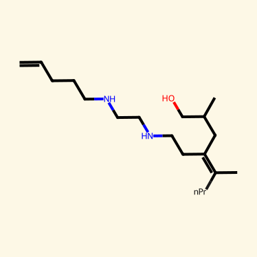 C=CCCCNCCNCC/C(CC(C)CO)=C(/C)CCC